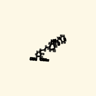 COc1ccc(CCCc2cccc(NC(=O)CN3CCOCC3)c2)cc1OC